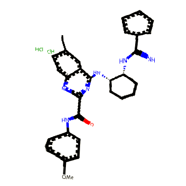 COc1ccc(NC(=O)c2nc(N[C@H]3CCCC[C@H]3NC(=N)c3ccccc3)c3cc(C)ccc3n2)cc1.Cl.Cl